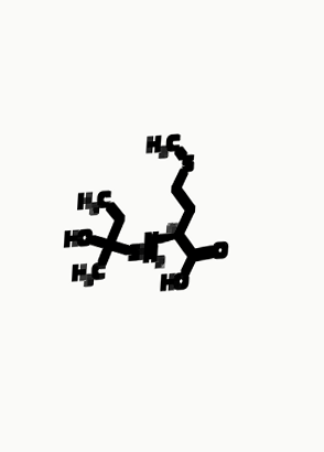 CCC(C)(O)S.CSCC[C@H](N)C(=O)O